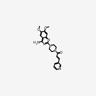 COc1cc2nc(N3CCN(C(=O)C=Cc4cccnc4)CC3)nc(N)c2cc1OC